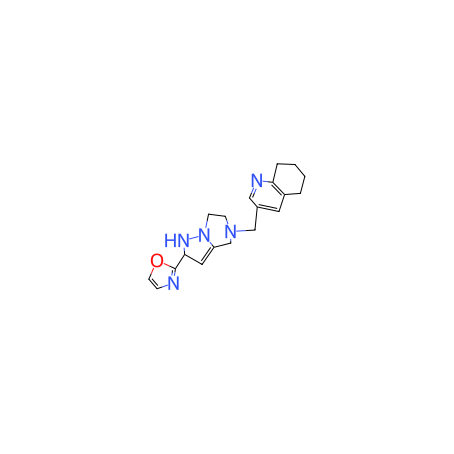 C1=C2CN(Cc3cnc4c(c3)CCCC4)CCN2NC1c1ncco1